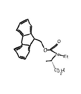 CCN(C(=O)OCC1c2ccccc2-c2ccccc21)[C@@H](C)C(=O)O